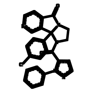 O=C1c2ccncc2C2(c3ccc(Cl)cc3)N1CCN2C(=O)c1ccnn1-c1ccccc1